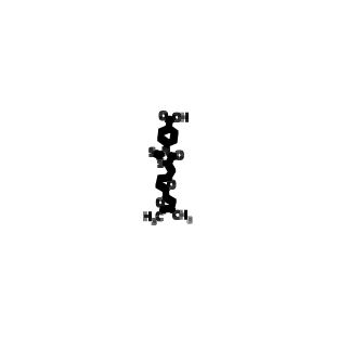 Cc1cc(-c2ccc(C=C3SC(=S)N(c4ccc(C(=O)O)cc4)C3=O)o2)oc1C